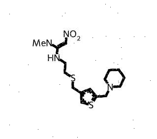 CNC(=C[N+](=O)[O-])NCCSCc1csc(CN2CCCCC2)c1